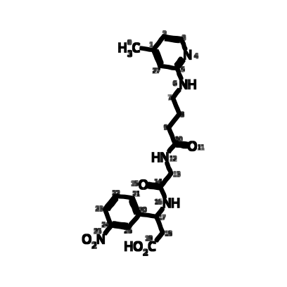 Cc1ccnc(NCCCC(=O)NCC(=O)NC(CC(=O)O)c2cccc([N+](=O)[O-])c2)c1